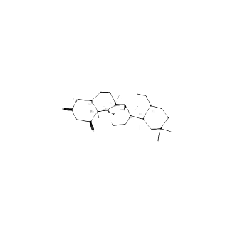 C[C@H]1C(=O)CC(=O)[C@@H]2[C@]1(C)CC[C@H]1[C@@]23CC[C@@]2(C)[C@@H]4CC(C)(C)CC[C@]4(C)CC[C@]12COC3